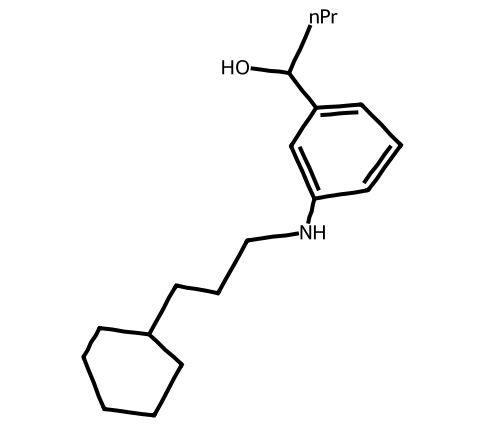 CCCC(O)c1cccc(NCCCC2CCCCC2)c1